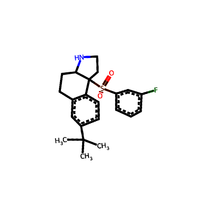 CC(C)(C)c1ccc2c(c1)CCC1NCCC21S(=O)(=O)c1cccc(F)c1